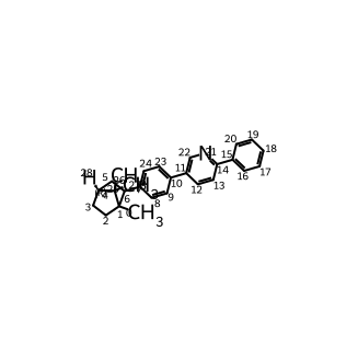 CC12CC[C@H](CC1c1ccc(-c3ccc(-c4ccccc4)nc3)cc1)C2(C)C